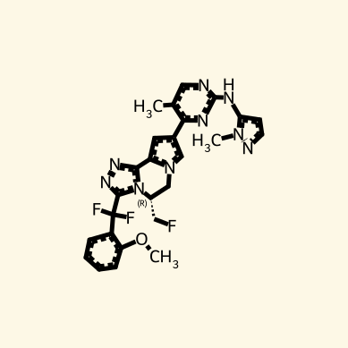 COc1ccccc1C(F)(F)c1nnc2n1[C@@H](CF)Cn1cc(-c3nc(Nc4ccnn4C)ncc3C)cc1-2